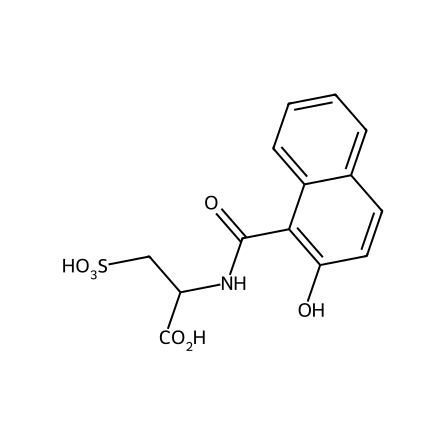 O=C(NC(CS(=O)(=O)O)C(=O)O)c1c(O)ccc2ccccc12